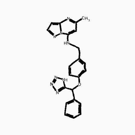 Cc1cc(NCc2ccc(OC(c3ccccc3)c3nnn[nH]3)cc2)n2nccc2n1